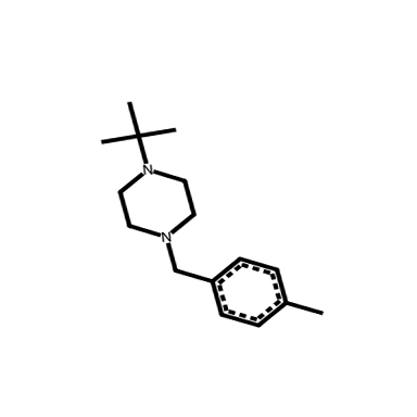 Cc1ccc(CN2CCN(C(C)(C)C)CC2)cc1